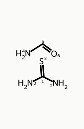 NC(N)=S.NC=O